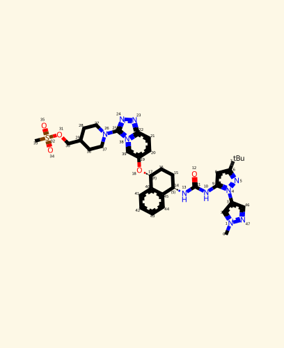 Cn1cc(-n2nc(C(C)(C)C)cc2NC(=O)N[C@H]2CC[C@@H](Oc3ccc4nnc(N5CCC(COS(C)(=O)=O)CC5)n4c3)c3ccccc32)cn1